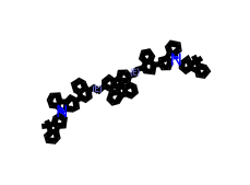 CC1(C)c2ccccc2-c2ccc(-n3c4ccccc4c4cc(-c5ccc(/C=C/c6ccc7c(c6)C6(c8ccccc8-c8ccccc86)c6cc(/C=C/c8ccc(-c9ccc%10c(c9)c9ccccc9n%10-c9ccc%10c(c9)C(C)(C)c9ccccc9-%10)c9ccccc89)ccc6-7)c6ccccc56)ccc43)cc21